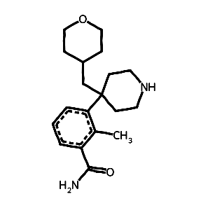 Cc1c(C(N)=O)cccc1C1(CC2CCOCC2)CCNCC1